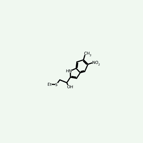 CCSCC(O)c1cc2cc([N+](=O)[O-])c(C)cc2[nH]1